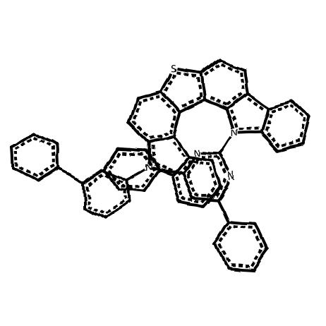 c1ccc(-c2cccc(-n3c4ccccc4c4c5c(ccc43)sc3ccc4c6ccccc6n(-c6nc(-c7ccccc7)cc(-c7ccccc7)n6)c4c35)c2)cc1